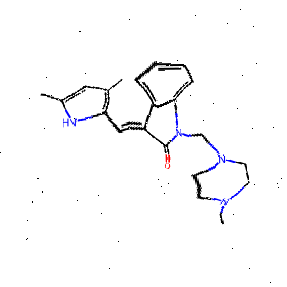 Cc1cc(C)c(C=C2C(=O)N(CN3CCN(C)CC3)c3ccccc32)[nH]1